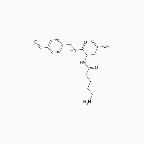 NCCCCC(=O)NC(CC(=O)O)C(=O)NCc1ccc(C=O)cc1